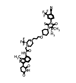 Cn1nc(C2CCC(=O)NC2=O)c2cccc(NC(=O)CN3CCN(CCCO[C@H]4CC[C@H](N5C(=S)N(c6ccc(C#N)c(C(F)(F)F)c6)C(=O)C5(C)C)CC4)C[C@@H]3C(F)(F)F)c21